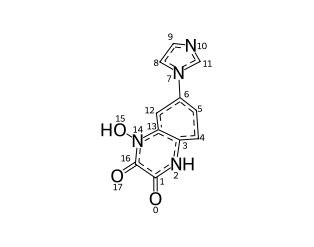 O=c1[nH]c2ccc(-n3ccnc3)cc2n(O)c1=O